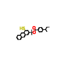 CCC(C)c1ccc(C(=O)OC(C)(C)c2cc(S)c3cc4ccccc4cc3c2)cc1